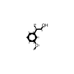 COc1cccc([C@@H](I)CO)c1